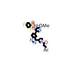 COc1ncc(-c2ccc3ncnc(C4CCN(C(=O)/C=C/C(C)=O)C4)c3c2)cc1NS(=O)(=O)c1ccc(F)cc1F